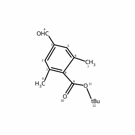 Cc1cc(C=O)cc(C)c1C(=O)OC(C)(C)C